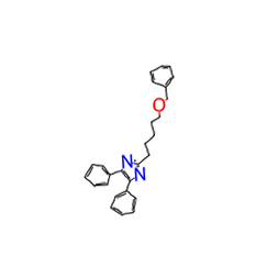 c1ccc(COCCCCCC2=NC(c3ccccc3)=C(c3ccccc3)[N]2)cc1